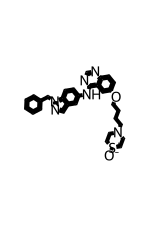 [O-][S+]1CCN(CCCCOc2ccc3ncnc(Nc4ccc5c(cnn5Cc5ccccc5)c4)c3c2)CC1